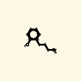 [O]c1ccccc1CCCBr